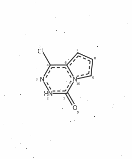 O=c1[nH]nc(Cl)c2cccn12